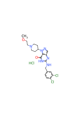 COCCN1CCC(n2ncc3nc(NCc4ccc(Cl)c(Cl)c4)[nH]c(=O)c32)CC1.Cl